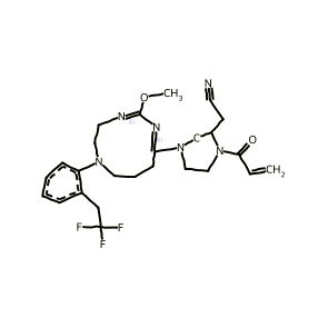 C=CC(=O)N1CCN(/C2=N/C(OC)=N\CCN(c3ccccc3CC(F)(F)F)CCC2)CC1CC#N